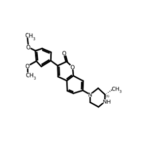 COc1ccc(-c2cc3ccc(N4CCN[C@@H](C)C4)cc3oc2=O)cc1OC